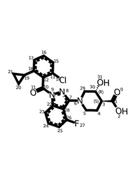 O=C(O)[C@H]1CCN(c2nn(C(=O)c3c(Cl)cccc3C3CC3)c3cccc(F)c23)C[C@@H]1O